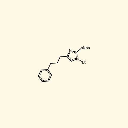 CCCCCCCCCc1nc(CCCc2ccccc2)cn1CC